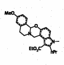 CCCc1c(C(=O)OCC)c2c3c(ccc2n1C)OC1c2ccc(OC)cc2CCN1C3